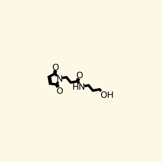 O=C(CCN1C(=O)C=CC1=O)NCCCO